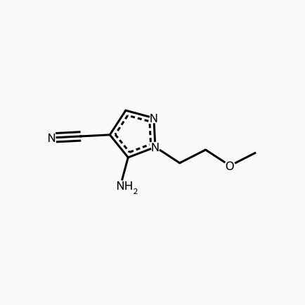 COCCn1ncc(C#N)c1N